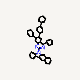 c1ccc(-c2ccc(-c3cc4c(-c5ccccc5)nc(-n5c6ccccc6c6cc7ccccc7cc65)nc4cc3-c3ccccc3)cc2)cc1